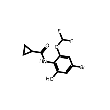 O=C(Nc1c(O)cc(Br)cc1OC(F)F)C1CC1